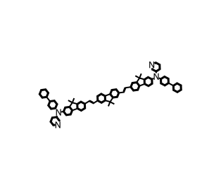 CC1(C)c2cc(/C=C/c3ccc4c(c3)C(C)(C)c3cc(N(c5ccc(-c6ccccc6)cc5)c5cccnc5)ccc3-4)ccc2-c2ccc(/C=C/c3ccc4c(c3)C(C)(C)c3cc(N(c5ccc(-c6ccccc6)cc5)c5cccnc5)ccc3-4)cc21